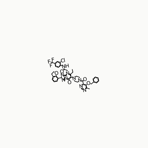 CCc1c(N2CCN(C(=O)c3ncnc(C)c3OCc3ccccc3)CC2)c(=O)n2nc(-c3cccc4c3OCC4)nc2n1CC(=O)Nc1ccc(C(F)(F)F)cc1Cl